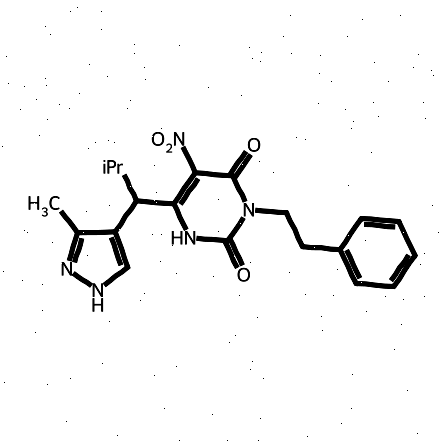 Cc1n[nH]cc1C(c1[nH]c(=O)n(CCc2ccccc2)c(=O)c1[N+](=O)[O-])C(C)C